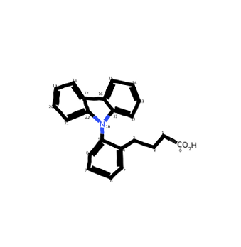 O=C(O)CCCc1ccccc1-n1c2ccccc2c2ccccc21